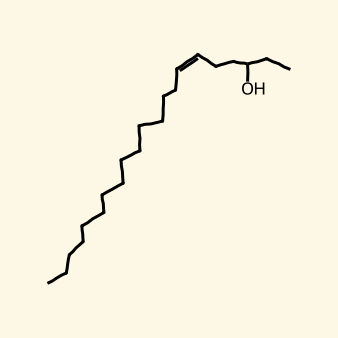 CCCCCCCCCCCCCC/C=C\CCC(O)CC